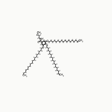 CCCCCCCCCCCCCCCCCCOc1cc(C(=O)NCCOC)cc(OCCCCCCCCCCCCCCCCCC)c1OCCCCCCCCCCCCCCCCCC